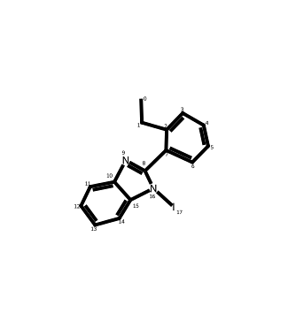 CCc1ccccc1-c1nc2ccccc2n1I